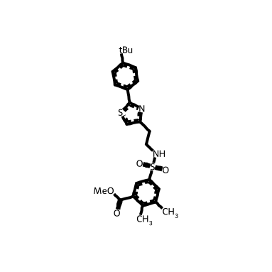 COC(=O)c1cc(S(=O)(=O)NCCc2csc(-c3ccc(C(C)(C)C)cc3)n2)cc(C)c1C